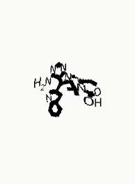 C=C[C@@H](Cn1cc(-c2cnc3ccccc3c2)c2c(N)ncnc21)N(C(=O)O)C(C)(C)C